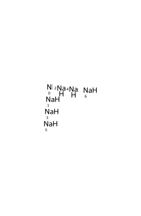 [N].[NaH].[NaH].[NaH].[NaH].[NaH].[NaH]